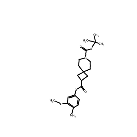 COc1cc(OC(=O)C2CC3(CCN(C(=O)OC(C)(C)C)CC3)C2)ccc1N